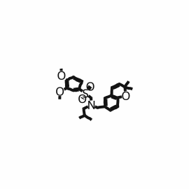 COc1ccc(S(=O)(=O)CN(Cc2ccc3c(c2)C=CC(C)(C)O3)CC(C)C)cc1OC